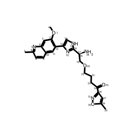 COc1cc2nc(C)ccc2cc1-c1c[nH]c([C@@H](N)COCCCC(=O)c2cc(C)on2)n1